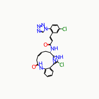 O=C(/C=C/c1cc(Cl)ccc1-n1cnnn1)N[C@H]1C/C=C\CC(=O)Nc2ccccc2-c2nc1[nH]c2Cl